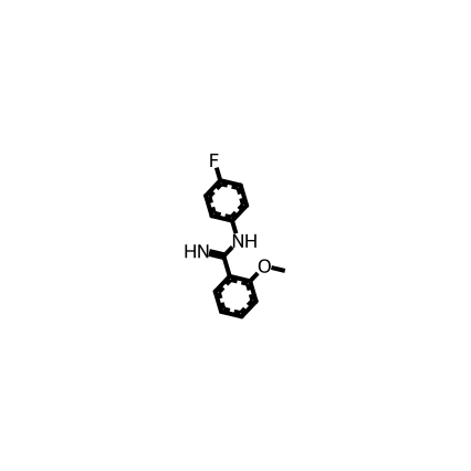 COc1ccccc1C(=N)Nc1ccc(F)cc1